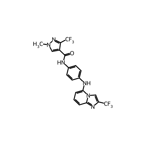 Cn1cc(C(=O)Nc2ccc(Nc3cccc4nc(C(F)(F)F)cn34)cc2)c(C(F)(F)F)n1